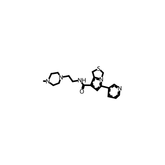 CN1CCN(CCNC(=O)c2cc(-c3cccnc3)n3c2CSC3)CC1